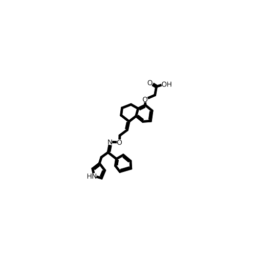 O=C(O)COc1cccc2c1CCCC2=CCON=C(Cc1cc[nH]c1)c1ccccc1